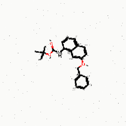 CC(C)(C)OC(=O)[AsH]c1cccc2ccc(OCc3ccccc3)cc12